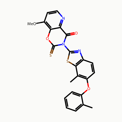 COc1ccnc2c(=O)n(-c3nc4ccc(Oc5ccccc5C)c(C)c4s3)c(=S)oc12